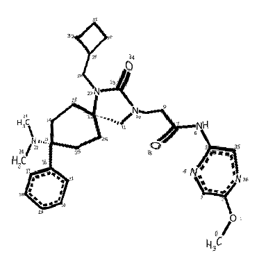 COc1cnc(NC(=O)CN2C[C@]3(CC[C@@](c4ccccc4)(N(C)C)CC3)N(CC3CCC3)C2=O)cn1